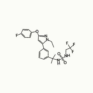 CCn1nc(Oc2ccc(F)cc2)cc1-c1cccc(C(C)(C)NS(=O)(=O)NCC(F)(F)F)c1